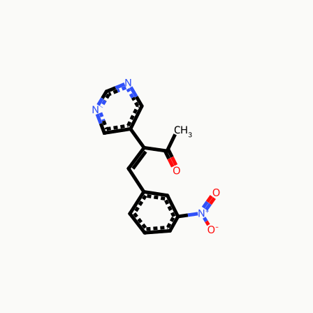 CC(=O)C(=Cc1cccc([N+](=O)[O-])c1)c1cncnc1